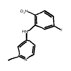 Cc1cc(Nc2cc(F)ccc2[N+](=O)[O-])ccn1